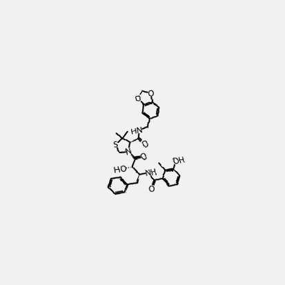 Cc1c(O)cccc1C(=O)N[C@@H](Cc1ccccc1)[C@H](O)C(=O)N1CSC(C)(C)[C@H]1C(=O)NCc1ccc2c(c1)OCO2